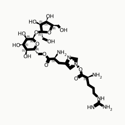 N=C(N)NCCC[C@H](N)C(=O)On1cnc(C[C@H](N)C(=O)OC[C@H]2O[C@H](O[C@]3(CO)O[C@H](CO)[C@@H](O)[C@@H]3O)[C@H](O)[C@@H](O)[C@@H]2O)c1